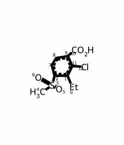 CCc1c(S(C)(=O)=O)ccc(C(=O)O)c1Cl